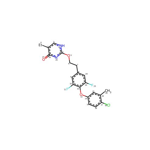 CCc1c[nH]c(OCCc2cc(F)c(Oc3ccc(Cl)c(C)c3)c(F)c2)nc1=O